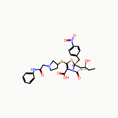 CC[C@H](O)[C@@H]1C(=O)N2C(C(=O)O)=C(SC3CCN(CC(=O)Nc4ccccc4)C3)S[C@]12Cc1ccc([N+](=O)[O-])cc1